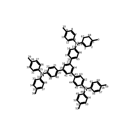 CC1=CC=C(N(c2ccc(C)cc2)c2ccc(-c3cc(-c4ccc(N(c5ccc(C)cc5)c5ccc(C)cc5)cc4)cc(-c4ccc(N(c5ccc(C)cc5)c5ccc(C)cc5)cc4)c3)cc2)CC1